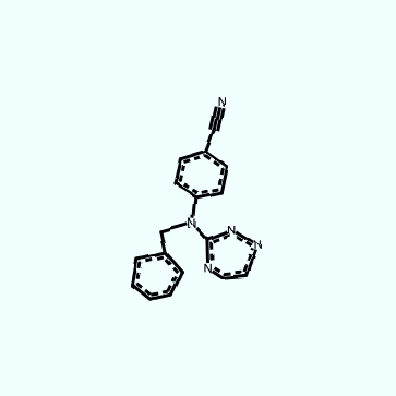 N#Cc1ccc(N(Cc2ccccc2)c2nccnn2)cc1